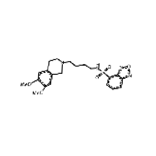 COc1cc2c(cc1OC)CN(CCCCNS(=O)(=O)c1cccc3nonc13)CC2